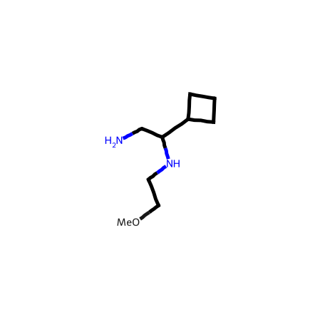 COCCNC(CN)C1CCC1